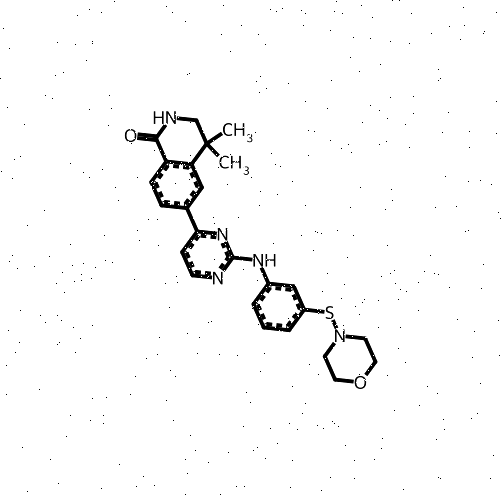 CC1(C)CNC(=O)c2ccc(-c3ccnc(Nc4cccc(SN5CCOCC5)c4)n3)cc21